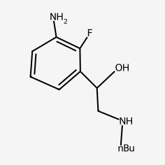 CCCCNCC(O)c1cccc(N)c1F